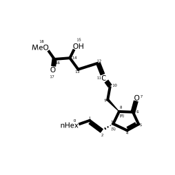 CCCCCCC=C[C@H]1C=CC(=O)[C@@H]1CC=C=CCC(O)C(=O)OC